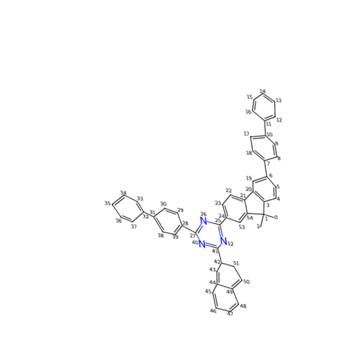 CC1(C)c2ccc(-c3ccc(-c4ccccc4)cc3)cc2-c2ccc(-c3nc(-c4ccc(-c5ccccc5)cc4)nc(C4C=c5ccccc5=CC4)n3)cc21